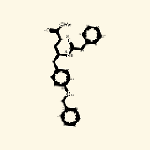 COC(=O)CCC(Cc1ccc(OCc2ccccc2)cc1)NC(=O)Cc1ccccc1